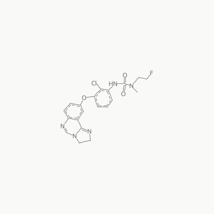 CN(CCF)S(=O)(=O)Nc1cccc(Oc2ccc3c(c2)C2=NCCN2C=N3)c1Cl